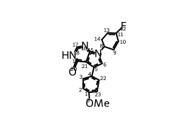 COc1ccc(-c2cn(C3C=CC(F)=CC3)c3nc[nH]c(=O)c23)cc1